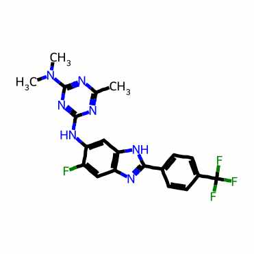 Cc1nc(Nc2cc3[nH]c(-c4ccc(C(F)(F)F)cc4)nc3cc2F)nc(N(C)C)n1